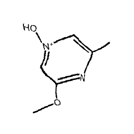 COc1c[n+](O)cc(C)n1